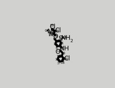 Cn1nc(OCc2ccc(NC(=O)Cc3ccccc3Cl)cc2SN)c(Cl)c1Cl